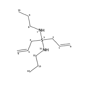 C=CCS(CC=C)(NCCC)NCCC